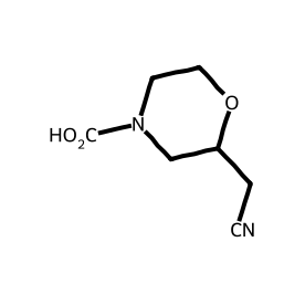 N#CCC1CN(C(=O)O)CCO1